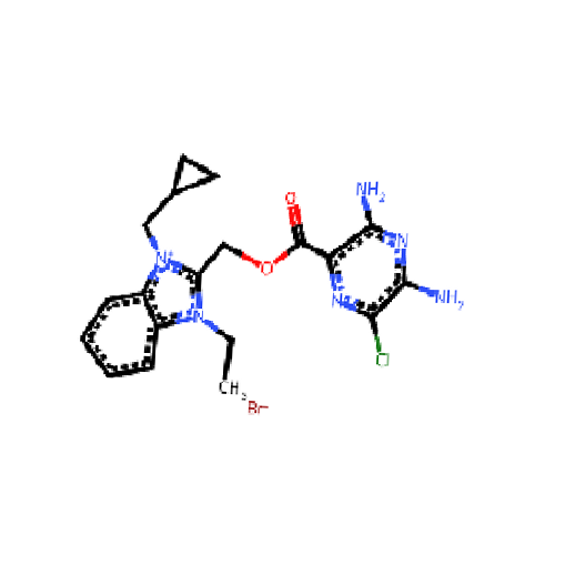 CCn1c(COC(=O)c2nc(Cl)c(N)nc2N)[n+](CC2CC2)c2ccccc21.[Br-]